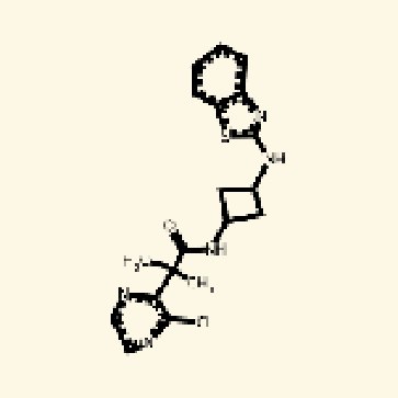 CC(C)(C(=O)NC1CC(Nc2nc3ccccc3s2)C1)c1nccnc1Cl